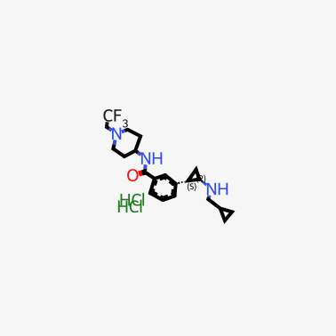 Cl.Cl.O=C(NC1CCN(CC(F)(F)F)CC1)c1cccc([C@@H]2C[C@H]2NCC2CC2)c1